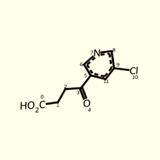 O=C(O)CCC(=O)c1cncc(Cl)c1